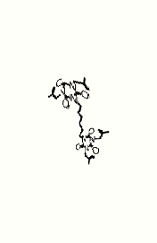 C=C(C)Cn1c(=O)n(CCCCCCn2c(=O)n(CC(=C)C)c(=O)n(CC(=C)C)c2=O)c(=O)n(CC(=C)C)c1=O